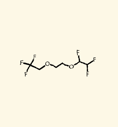 FC(F)C(F)OCCOCC(F)(F)F